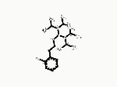 CC(C)N(C(C)C)P(OCCc1ccccc1F)N(C(C)C)C(C)C